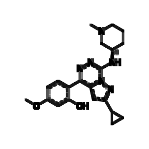 COc1ccc(-c2nnc(N[C@@H]3CCCN(C)C3)n3nc(C4CC4)cc23)c(O)c1